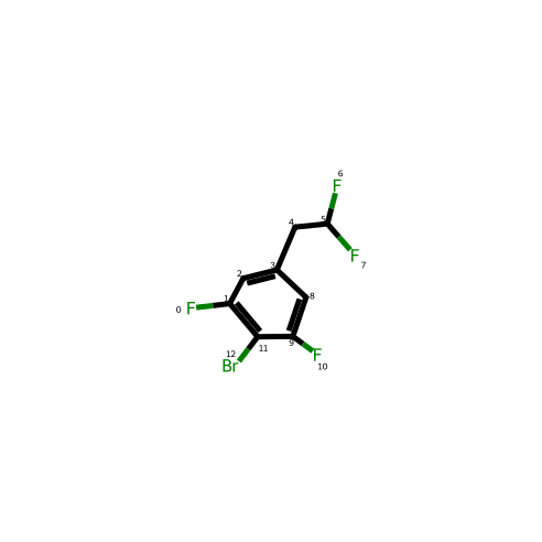 Fc1cc(CC(F)F)cc(F)c1Br